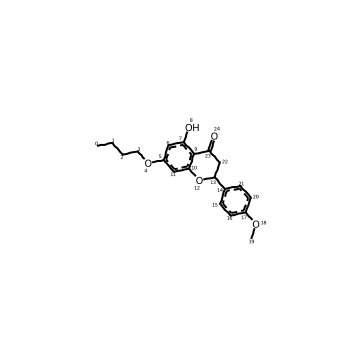 CCCCOc1cc(O)c2c(c1)OC(c1ccc(OC)cc1)CC2=O